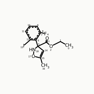 CCOC(=O)C1(c2c(F)cccc2I)C=C(C)ON1